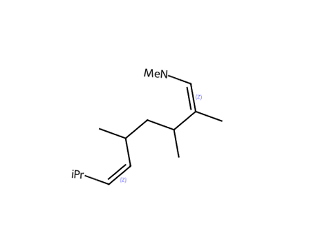 CN/C=C(/C)C(C)CC(C)/C=C\C(C)C